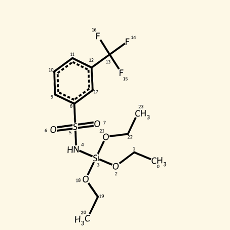 CCO[Si](NS(=O)(=O)c1cccc(C(F)(F)F)c1)(OCC)OCC